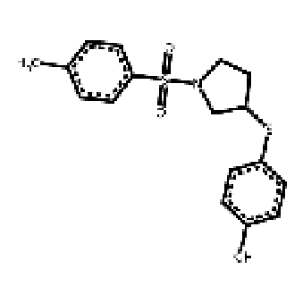 Cc1ccc(S(=O)(=O)N2CCC(Sc3ccc(O)cc3)C2)cc1